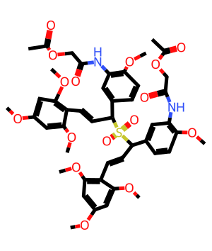 COc1cc(OC)c(C=CC(c2ccc(OC)c(NC(=O)COC(C)=O)c2)S(=O)(=O)C(C=Cc2c(OC)cc(OC)cc2OC)c2ccc(OC)c(NC(=O)COC(C)=O)c2)c(OC)c1